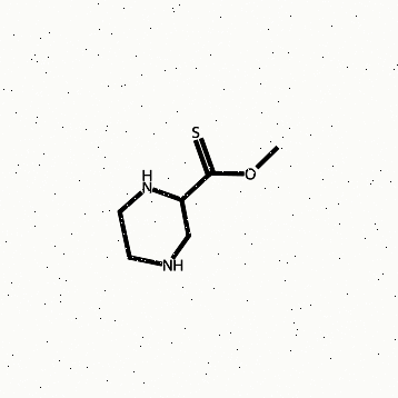 COC(=S)C1CNCCN1